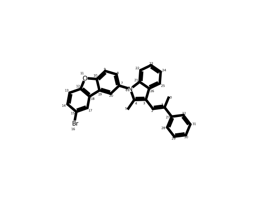 C/C(=C\c1c(C)n(-c2ccc3oc4ccc(Br)cc4c3c2)c2ccccc12)c1ccccc1